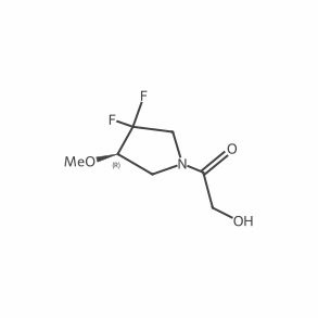 CO[C@@H]1CN(C(=O)CO)CC1(F)F